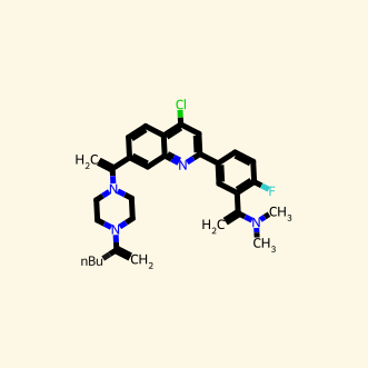 C=C(c1cc(-c2cc(Cl)c3ccc(C(=C)N4CCN(C(=C)CCCC)CC4)cc3n2)ccc1F)N(C)C